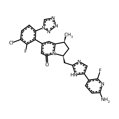 C[C@H]1C[C@@H](Cc2ncc(-c3ccc(N)nc3F)[nH]2)n2c1cc(-c1c(-n3cnnn3)ccc(Cl)c1F)cc2=O